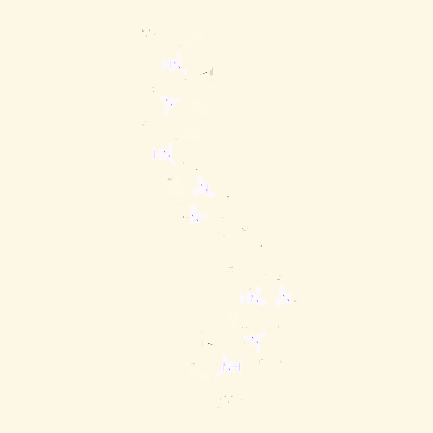 COC(=O)N[C@H](C(=O)N1CCC[C@H]1C(=O)Nc1cn2cc(-c3ccc(-c4cnc([C@@H]5CCCN5C(=O)[C@@H](NC(=O)OC)C(C)C)[nH]4)cc3)nc2o1)C(C)C